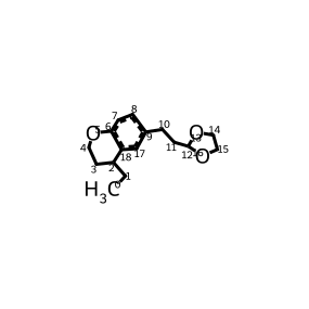 CCC1CCOc2ccc(CCC3OCCO3)cc21